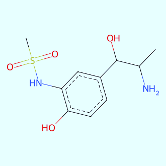 CC(N)C(O)c1ccc(O)c(NS(C)(=O)=O)c1